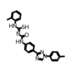 Cc1ccc(-n2cnc(-c3ccc(NC(=O)/N=C(\S)Nc4ccccc4C)cc3)n2)cc1